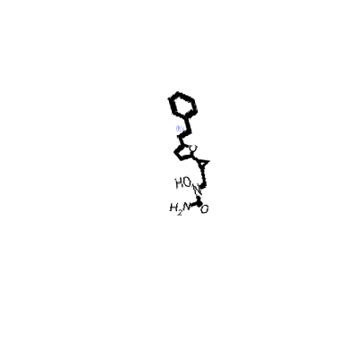 NC(=O)N(O)CC1CC1c1ccc(/C=C/c2ccccc2)o1